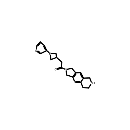 O=C(CC1CN(c2cccnc2)C1)N1Cc2cc3c(nc2C1)CCNC3